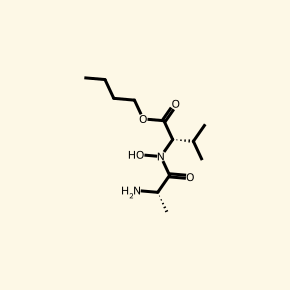 CCCCOC(=O)[C@H](C(C)C)N(O)C(=O)[C@H](C)N